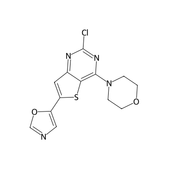 Clc1nc(N2CCOCC2)c2sc(-c3cnco3)cc2n1